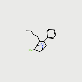 CCCCC1C(c2ccccc2)CC2CC(F)C1N2C